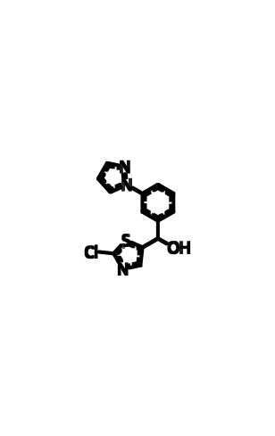 OC(c1cccc(-n2cccn2)c1)c1cnc(Cl)s1